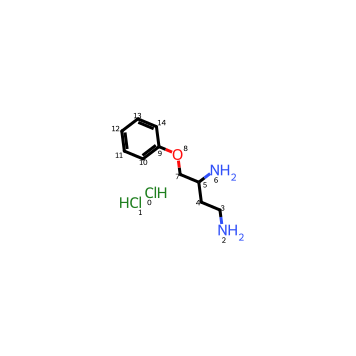 Cl.Cl.NCCC(N)COc1ccccc1